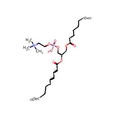 CCCCCCCCCCCCC/C=C/C=C/C(=O)OC(COC(=O)CCCCCCCCCCCCCCC)COP(=O)(O)OCC[N+](C)(C)C